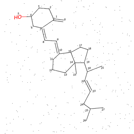 C=C1CCC(O)C/C1=C/C=C1\CCCC2(C)C1CCC2C(C)/C=C/CC(C)C